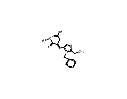 CCc1ncc(/C=C(\CC(=O)O)C(=O)OC)n1Cc1ccccc1